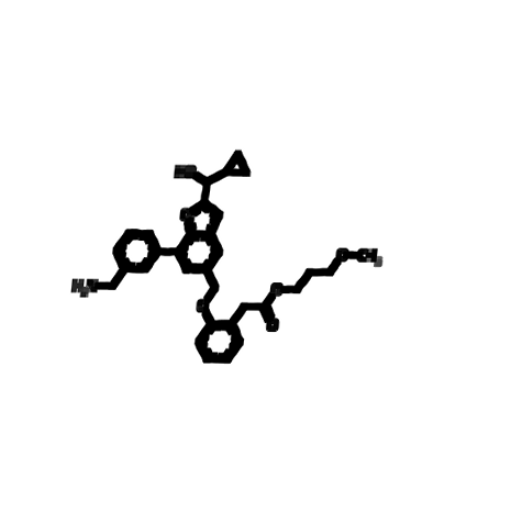 COCCCOC(=O)Cc1ccccc1OCc1cc(-c2cccc(CN)c2)c2oc(C(O)C3CC3)cc2c1